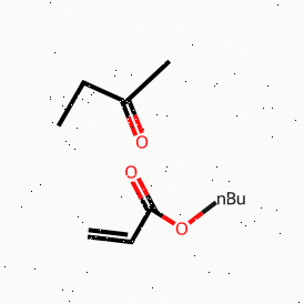 C=CC(=O)OCCCC.CCC(C)=O